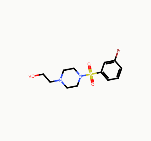 O=S(=O)(c1cccc(Br)c1)N1CCN(CCO)CC1